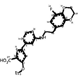 CCOc1cc(-c2cc(NCCc3cc(F)c4c(c3)OCCO4)ncn2)sc1C(=O)O